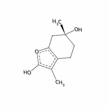 Cc1c(O)oc2c1CC[C@@](C)(O)C2